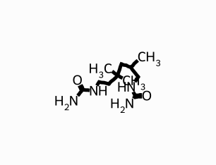 CC(CNC(N)=O)CC(C)(C)CCNC(N)=O